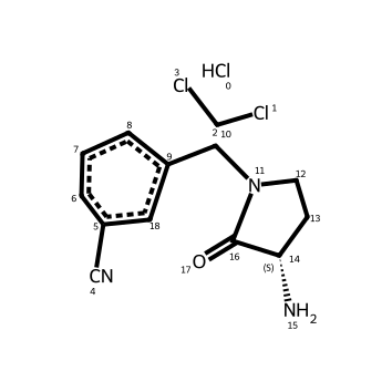 Cl.ClCCl.N#Cc1cccc(CN2CC[C@H](N)C2=O)c1